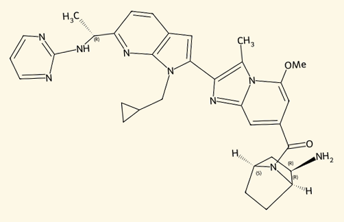 COc1cc(C(=O)N2[C@H]3CC[C@@H]2[C@H](N)C3)cc2nc(-c3cc4ccc([C@@H](C)Nc5ncccn5)nc4n3CC3CC3)c(C)n12